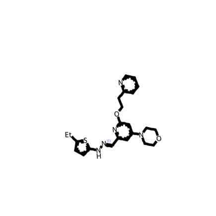 CCc1ccc(N/N=C/c2cc(N3CCOCC3)cc(OCCc3ccccn3)n2)s1